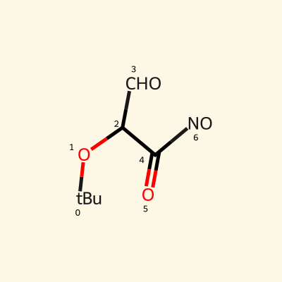 CC(C)(C)OC(C=O)C(=O)N=O